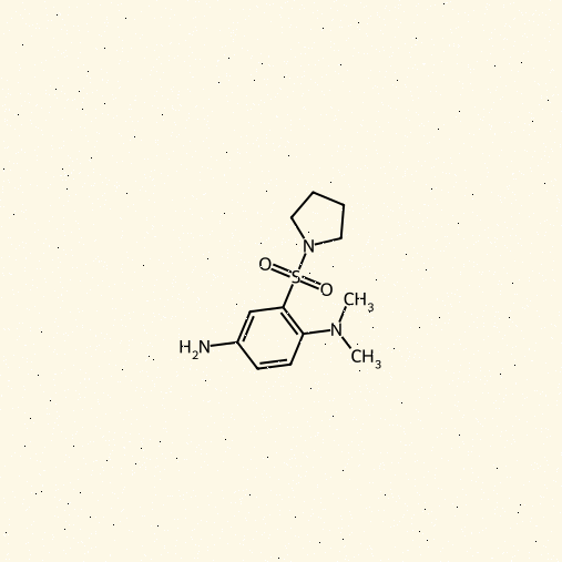 CN(C)c1ccc(N)cc1S(=O)(=O)N1CCCC1